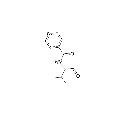 CC(C)[C@@H](C=O)NC(=O)c1ccncc1